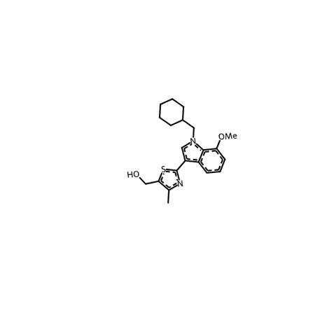 COc1cccc2c(-c3nc(C)c(CO)s3)cn(CC3CCCCC3)c12